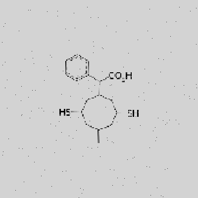 C=C1CC(S)CC(C(C(=O)O)c2ccccc2)CC(S)C1